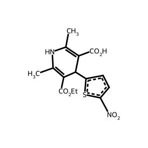 CCOC(=O)C1=C(C)NC(C)=C(C(=O)O)C1c1ccc([N+](=O)[O-])s1